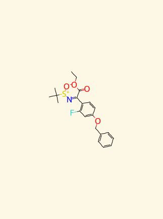 CCOC(=O)/C(=N\[S@+]([O-])C(C)(C)C)c1ccc(OCc2ccccc2)cc1F